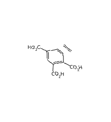 C=C.O=C(O)c1ccc(C(=O)O)c(C(=O)O)c1